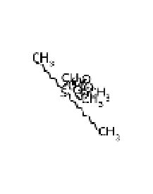 CCCCCCCCCCCSC(CCCCCCCC)C(C)OOC(=O)P(=O)(OC)OCCC